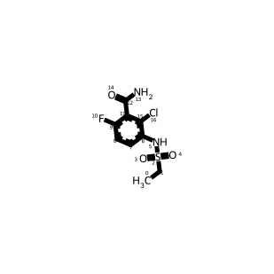 CCS(=O)(=O)Nc1ccc(F)c(C(N)=O)c1Cl